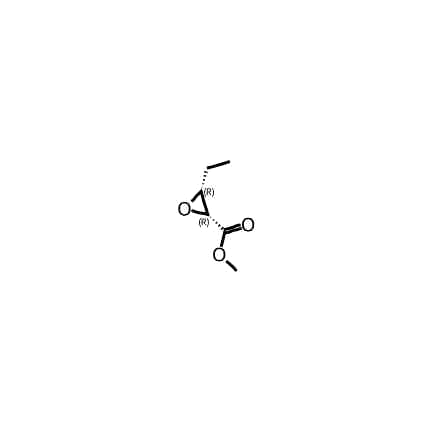 CC[C@H]1O[C@H]1C(=O)OC